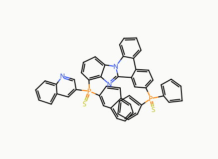 S=P(c1ccccc1)(c1ccccc1)c1ccc2c3ccccc3n3c4cccc(P(=S)(c5ccc6ccccc6c5)c5cnc6ccccc6c5)c4nc3c2c1